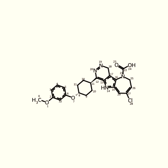 COc1cccc(O[C@H]2CC[C@H](C3=c4[nH]c5c(c4CN=N3)N(C(=O)O)CC=C(Cl)C=5)CC2)c1